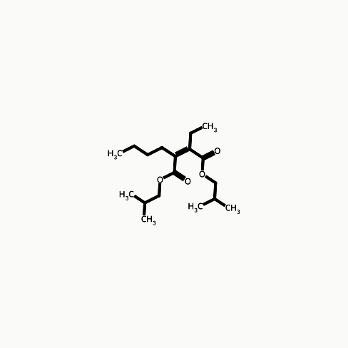 CCCC/C(C(=O)OCC(C)C)=C(\CC)C(=O)OCC(C)C